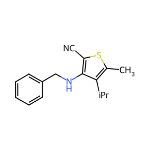 Cc1sc(C#N)c(NCc2ccccc2)c1C(C)C